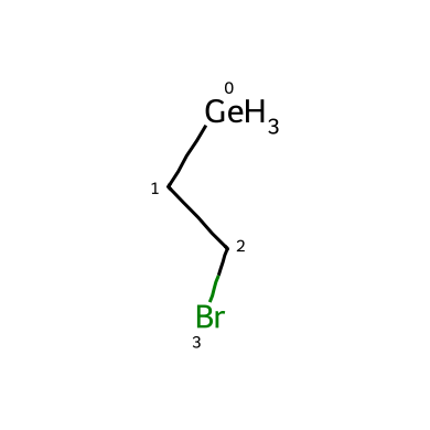 [GeH3][CH2]CBr